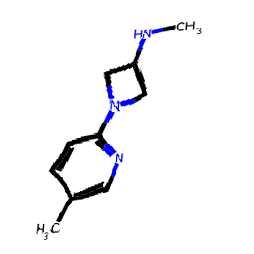 CNC1CN(c2ccc(C)cn2)C1